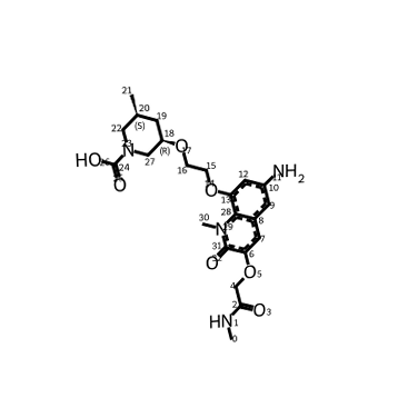 CNC(=O)COc1cc2cc(N)cc(OCCO[C@@H]3C[C@H](C)CN(C(=O)O)C3)c2n(C)c1=O